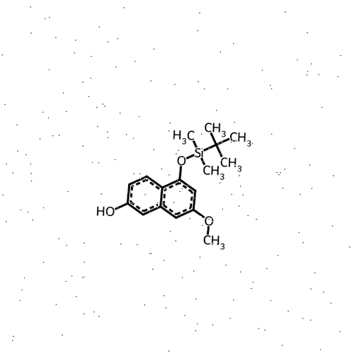 COc1cc(O[Si](C)(C)C(C)(C)C)c2ccc(O)cc2c1